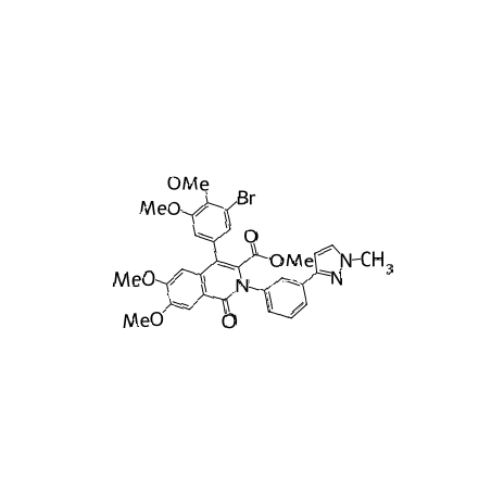 COC(=O)c1c(-c2cc(Br)c(OC)c(OC)c2)c2cc(OC)c(OC)cc2c(=O)n1-c1cccc(-c2ccn(C)n2)c1